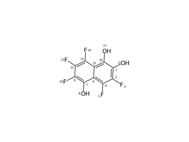 Oc1c(F)c(F)c2c(O)c(F)c(F)c(F)c2c1O